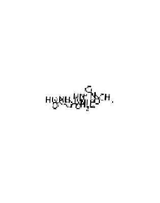 CC1CN(c2ccccc2CN/C(N)=N/C(=O)c2ccc(C[C@H](N)C(=O)O)cc2)CC(C)O1